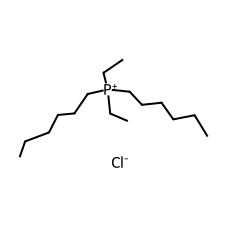 CCCCCC[P+](CC)(CC)CCCCCC.[Cl-]